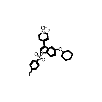 CN1CC=C(c2cn(S(=O)(=O)c3ccc(F)cc3)c3ccc(OC4CCCCC4)cc23)CC1